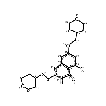 O=c1[nH]c(CSC2CCOCC2)nc2cc(OCC3CCOCC3)cc(Cl)c12